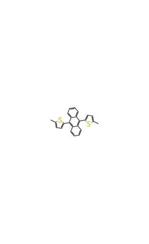 Cc1ccc(-c2c3ccccc3c(-c3ccc(C)s3)c3ccccc23)s1